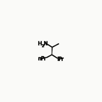 CCCC(C(C)C)C(C)N